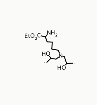 [CH2]C(O)CN(CCCCC(N)C(=O)OCC)CC([CH2])O